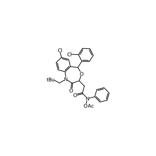 CC(=O)ON(C(=O)CC1OC(c2ccccc2Cl)c2cc(Cl)ccc2N(CC(C)(C)C)C1=O)c1ccccc1